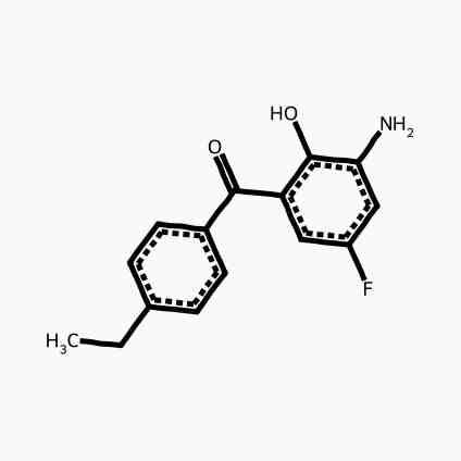 CCc1ccc(C(=O)c2cc(F)cc(N)c2O)cc1